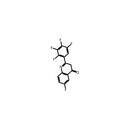 O=C1CC(c2cc(F)c(F)c(F)c2F)=Nc2ccc(F)cc21